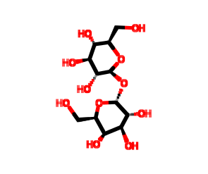 OC[C@H]1O[C@H](O[C@@H]2O[C@H](CO)[C@@H](O)[C@H](O)[C@H]2O)[C@H](O)[C@@H](O)[C@H]1O